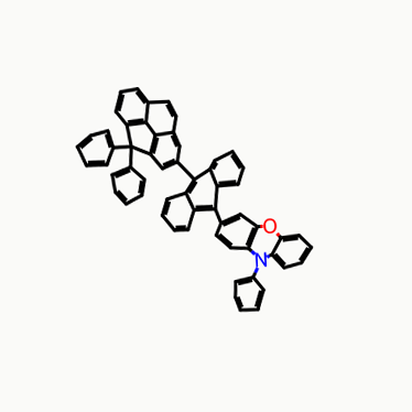 c1ccc(N2c3ccccc3Oc3cc(-c4c5ccccc5c(-c5cc6c7c(ccc8cccc(c87)C6(c6ccccc6)c6ccccc6)c5)c5ccccc45)ccc32)cc1